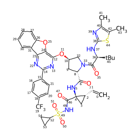 C=C[C@@H]1C[C@]1(NC(=O)[C@@H]1C[C@@H](Oc2nc(-c3ccc(C(F)(F)F)cc3)nc3c2oc2ccccc23)CN1C(=O)[C@@H](Nc1nc(C)c(C)s1)C(C)(C)C)C(=O)NS(=O)(=O)C1CC1